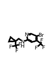 FC(F)(F)c1cc(NCC2(C(F)(F)F)CC2)ncc1Br